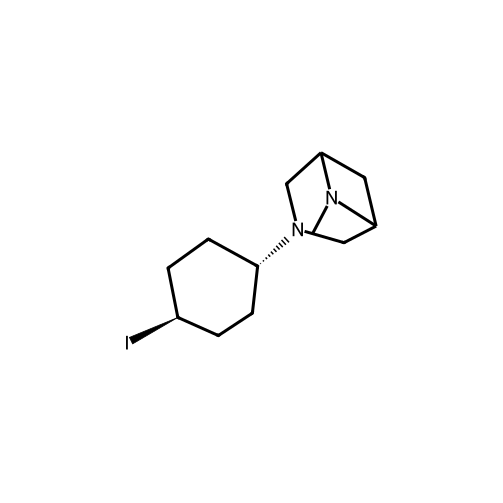 CN1C2CC1CN([C@H]1CC[C@H](I)CC1)C2